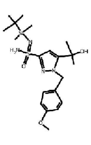 COc1ccc(Cn2nc(S(N)(=O)=N[Si](C)(C)C(C)(C)C)cc2C(C)(C)O)cc1